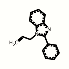 C=CCn1c(-c2ccccc2)nc2ccccc21